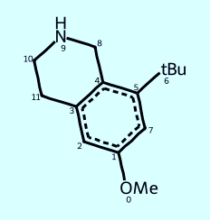 COc1cc2c(c(C(C)(C)C)c1)CNCC2